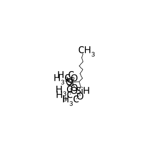 CCCCCCCCC(C[SiH](OC)OC)[Si](OC)(OC)OC